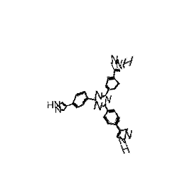 c1cc(-c2nc(-c3ccc(-c4cn[nH]c4)cc3)nc(-c3ccc(-c4cn[nH]c4)cc3)n2)ccc1-c1cn[nH]c1